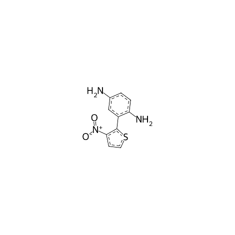 Nc1ccc(N)c(-c2sccc2[N+](=O)[O-])c1